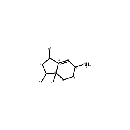 CC1CC(C)C2(C)CCC(N)C=C12